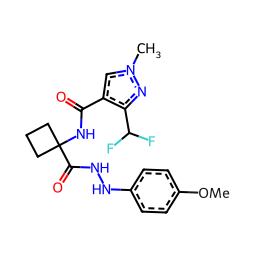 COc1ccc(NNC(=O)C2(NC(=O)c3cn(C)nc3C(F)F)CCC2)cc1